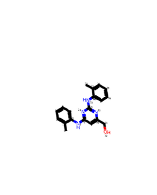 Cc1ccccc1Nc1cc(CO)nc(Nc2ccccc2C)n1